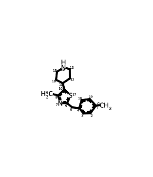 Cc1ccc(Cc2nc(C)c(C3CCNCC3)s2)cc1